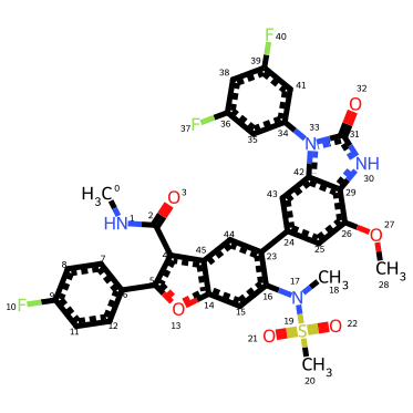 CNC(=O)c1c(-c2ccc(F)cc2)oc2cc(N(C)S(C)(=O)=O)c(-c3cc(OC)c4[nH]c(=O)n(-c5cc(F)cc(F)c5)c4c3)cc12